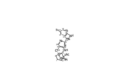 CC(=O)[C@@H]1C2CCC(CC2)C1Nc1nc(-c2n[nH]c3ncc(F)cc23)ncc1Cl